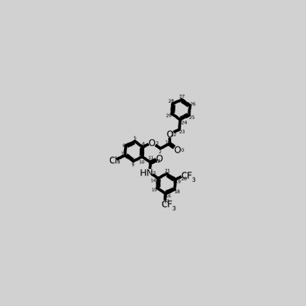 O=C(COc1ccc(Cl)cc1C(=O)Nc1cc(C(F)(F)F)cc(C(F)(F)F)c1)OCc1ccccc1